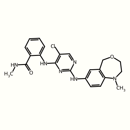 CNC(=O)c1ccccc1Nc1nc(Nc2ccc3c(c2)COCCN3C)ncc1Cl